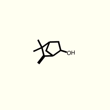 C=C1C2CC(CC2O)C1(C)C